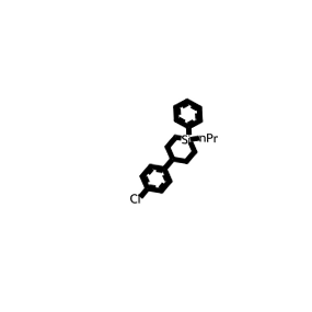 CCC[Si]1(c2ccccc2)CCC(c2ccc(Cl)cc2)CC1